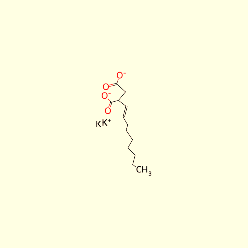 CCCCCCC/C=C/C(CC(=O)[O-])C(=O)[O-].[K+].[K+]